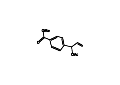 C=CC(OC(C)=O)c1ccc(C(=O)OC)cc1